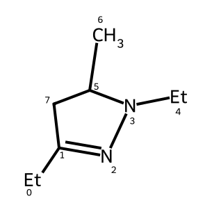 CCC1=NN(CC)C(C)C1